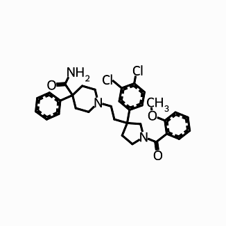 COc1ccccc1C(=O)N1CCC(CCN2CCC(C(N)=O)(c3ccccc3)CC2)(c2ccc(Cl)c(Cl)c2)C1